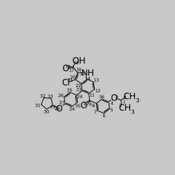 CC(C)Oc1cccc(C(=O)c2ccc3[nH]c(C(=O)O)c(Cl)c3c2-c2ccc(OC3CCCC3)cc2)c1